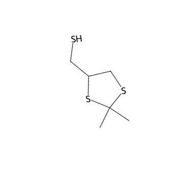 CC1(C)SCC(CS)S1